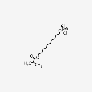 C=C(C)C(=O)OCCCCCCCCCCOP(=S)(Cl)Cl